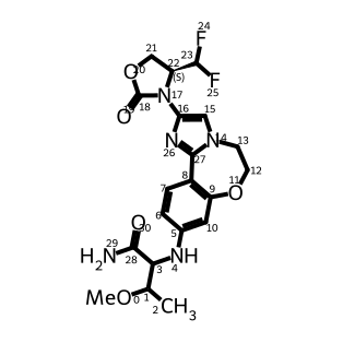 COC(C)C(Nc1ccc2c(c1)OCCn1cc(N3C(=O)OC[C@H]3C(F)F)nc1-2)C(N)=O